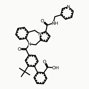 CC(C)(C)c1cc(C(=O)N2Cc3ccc(C(=O)NCc4cccnc4)n3Cc3ccccc32)ccc1-c1ccccc1C(=O)O